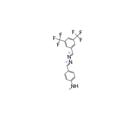 CNc1ccc(/C=N/N=C/c2cc(C(F)(F)F)cc(C(F)(F)F)c2)cc1